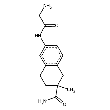 CC1(C(N)=O)CCc2cc(NC(=O)CN)ccc2C1